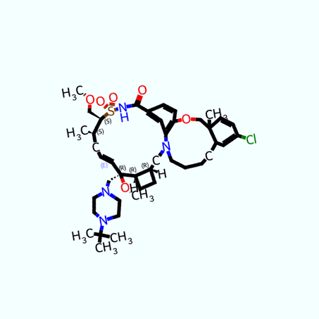 COC[C@@H]1[C@@H](C)C/C=C/[C@](CN2CCN(C(C)(C)C)CC2)(OC)[C@@H]2CC[C@H]2CN2CCCCC3C=C(Cl)C=CC3(C)COc3ccc(cc32)C(=O)NS1(=O)=O